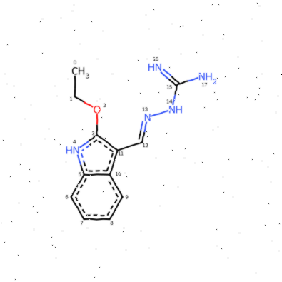 CCOc1[nH]c2ccccc2c1C=NNC(=N)N